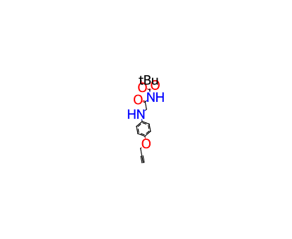 C#CCOc1ccc(NCC(=O)NC(=O)OC(C)(C)C)cc1